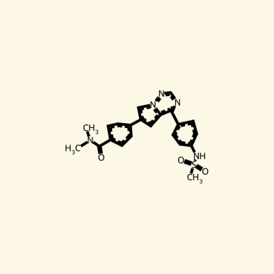 CN(C)C(=O)c1ccc(-c2cc3c(-c4ccc(NS(C)(=O)=O)cc4)ncnn3c2)cc1